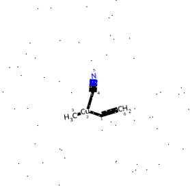 C=[CH][Cu]([CH3])[C]#N